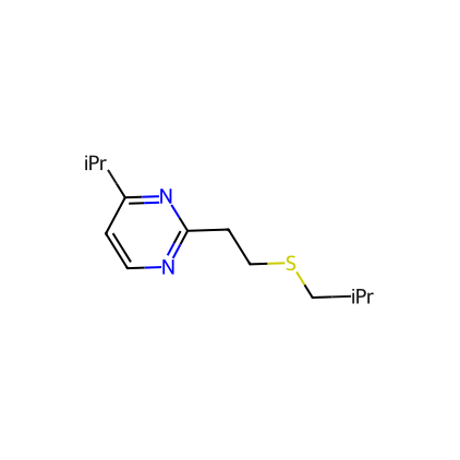 CC(C)CSCCc1nccc(C(C)C)n1